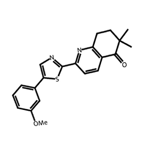 COc1cccc(-c2cnc(-c3ccc4c(n3)CCC(C)(C)C4=O)s2)c1